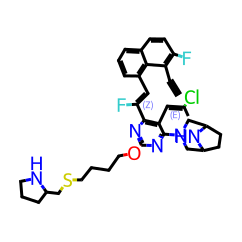 C#Cc1c(F)ccc2cccc(/C=C(\F)c3nc(OCCCCSCC4CCCN4)nc(N4CC5CCC(C4)N5)c3/C=C(\C)Cl)c12